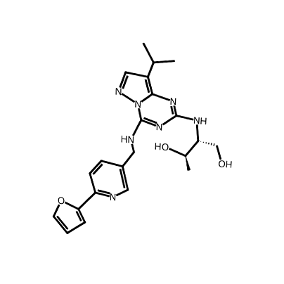 CC(C)c1cnn2c(NCc3ccc(-c4ccco4)nc3)nc(N[C@H](CO)[C@@H](C)O)nc12